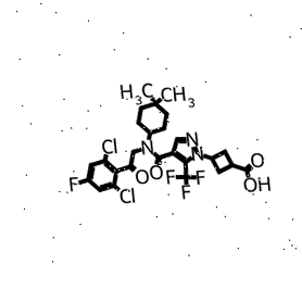 CC1(C)CCC(N(CC(=O)c2c(Cl)cc(F)cc2Cl)C(=O)c2cnn(C3CC(C(=O)O)C3)c2C(F)(F)F)CC1